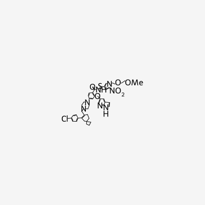 COCCOCCn1cc(SNC(=O)c2ccc(N3CCN(CC4=C(c5ccc(Cl)cc5)CC5(CCC5)CC4)CC3)cc2Oc2cnc3[nH]ccc3c2)cc1[N+](=O)[O-]